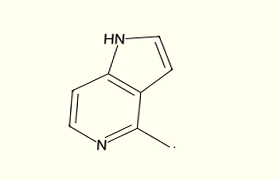 [CH2]c1nccc2[nH]ccc12